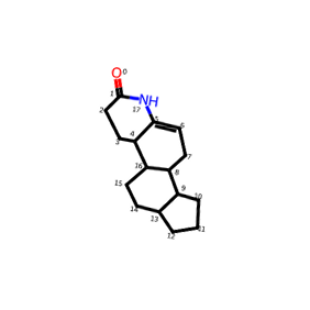 O=C1CCC2C(=CCC3C4CCCC4CCC23)N1